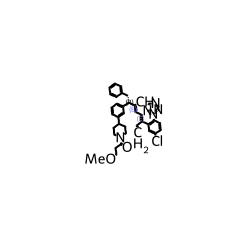 C=C/C(=C\C=C(/C)[C@@H](Cc1ccccc1)c1cccc(C2CCN(C(=O)CCOC)CC2)c1)c1cc(Cl)ccc1-n1ncnn1